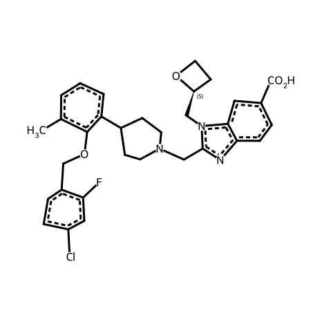 Cc1cccc(C2CCN(Cc3nc4ccc(C(=O)O)cc4n3C[C@@H]3CCO3)CC2)c1OCc1ccc(Cl)cc1F